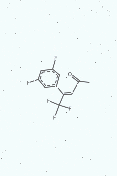 CC(=O)/C=C(\c1cc(F)cc(F)c1)C(F)(F)F